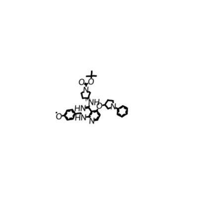 COc1ccc(CNc2nccc(OC3CCN(c4ccccc4)C3)c2C(=N)N[C@@H]2CCN(C(=O)OC(C)(C)C)C2)cc1